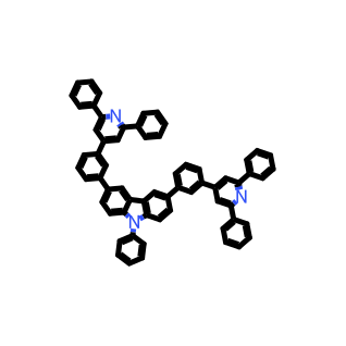 c1ccc(-c2cc(-c3cccc(-c4ccc5c(c4)c4cc(-c6cccc(-c7cc(-c8ccccc8)nc(-c8ccccc8)c7)c6)ccc4n5-c4ccccc4)c3)cc(-c3ccccc3)n2)cc1